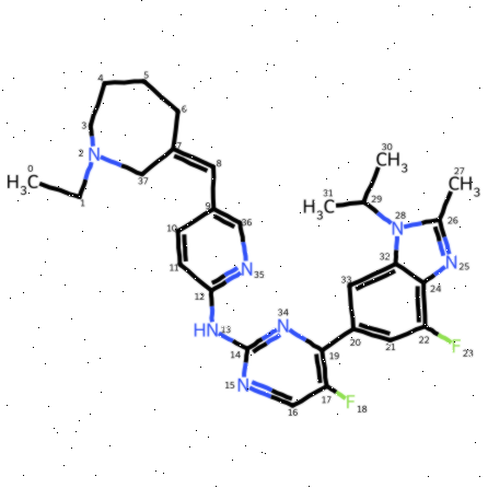 CCN1CCCC/C(=C/c2ccc(Nc3ncc(F)c(-c4cc(F)c5nc(C)n(C(C)C)c5c4)n3)nc2)C1